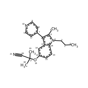 CCCn1c(C)c(-c2ccncc2)c2cc(OC(C)(C)C#N)ccc21